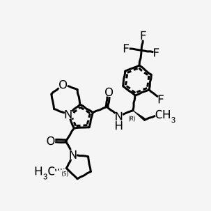 CC[C@@H](NC(=O)c1cc(C(=O)N2CCC[C@@H]2C)n2c1COCC2)c1ccc(C(F)(F)F)cc1F